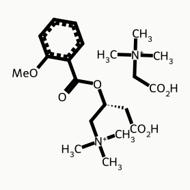 COc1ccccc1C(=O)O[C@H](CC(=O)O)C[N+](C)(C)C.C[N+](C)(C)CC(=O)O